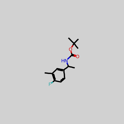 Cc1cc(C(C)NC(=O)OC(C)(C)C)ccc1F